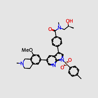 COc1cc(-c2cnc3c(c2)c(-c2ccc(C(=O)N(C)C[C@H](C)O)cc2)cn3S(=O)(=O)c2ccc(C)cc2)cc2c1CN(C)CC2